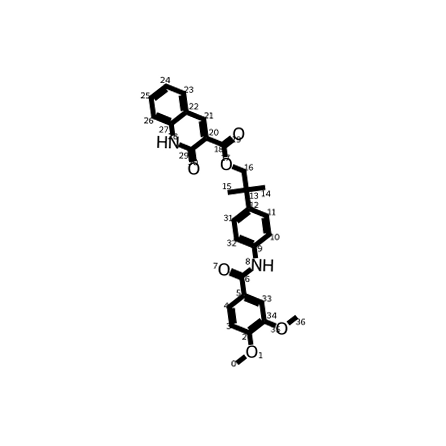 COc1ccc(C(=O)Nc2ccc(C(C)(C)COC(=O)c3cc4ccccc4[nH]c3=O)cc2)cc1OC